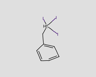 [I][Hf]([I])([I])[CH2]c1ccccc1